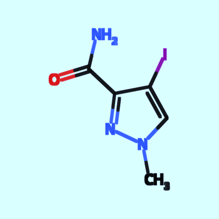 Cn1cc(I)c(C(N)=O)n1